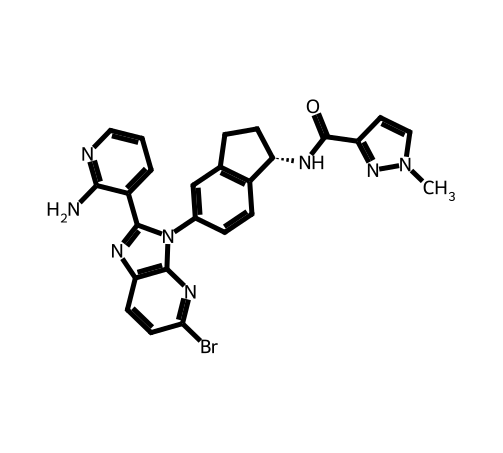 Cn1ccc(C(=O)N[C@H]2CCc3cc(-n4c(-c5cccnc5N)nc5ccc(Br)nc54)ccc32)n1